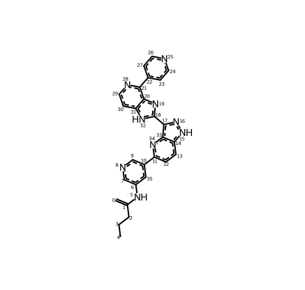 C=C(CCC)Nc1cncc(-c2ccc3[nH]nc(-c4nc5c(-c6ccncc6)nccc5[nH]4)c3n2)c1